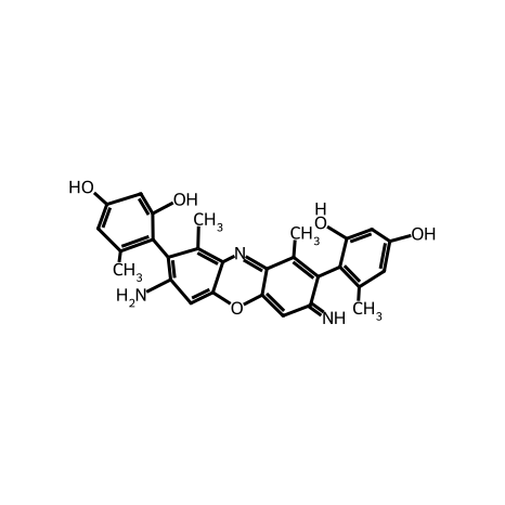 Cc1cc(O)cc(O)c1-c1c(N)cc2oc3cc(=N)c(-c4c(C)cc(O)cc4O)c(C)c-3nc2c1C